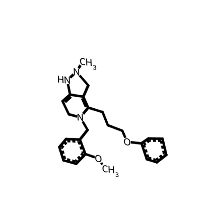 COc1ccccc1CN1CC=C2NN(C)CC2=C1CCCOc1ccccc1